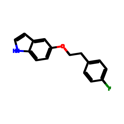 Fc1ccc(CCOc2ccc3[nH]ccc3c2)cc1